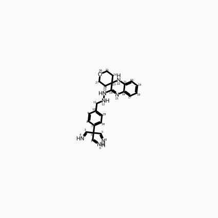 N=CC(C=N)(C=N)c1ccc(CNNC2=Nc3ccccc3NC23CCOCC3)cc1